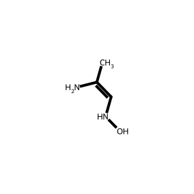 C/C(N)=C/NO